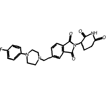 O=C1CCC(N2C(=O)c3ccc(CN4CCN(c5ccc(F)cc5)CC4)cc3C2=O)C(=O)N1